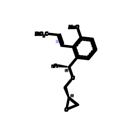 CCC[C@@H](OC[C@H]1CO1)c1cccc(OC)c1/C=C/C(=O)OCC